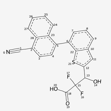 N#Cc1ccc(-c2cccc3cc(C(O)C(F)(F)C(=O)O)sc23)c2ccccc12